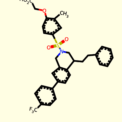 Cc1cc(S(=O)(=O)N2Cc3cc(-c4ccc(C(F)(F)F)cc4)ccc3C(CCc3ccccc3)C2)ccc1OCC(=O)O